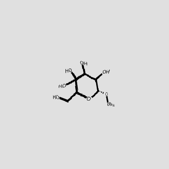 CC(C)(C)O[C@@H]1OC(CO)C(O)(O)C(O)C1O